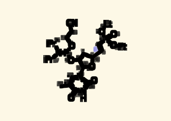 CCOP(=O)(/C=C/[C@@H]1CC(OP(OCCC#N)N(C(C)C)C(C)C)[C@H](n2cc(C)c(=O)[nH]c2=O)O1)OCC